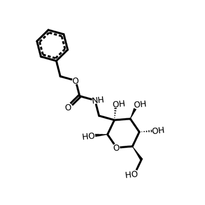 O=C(NC[C@]1(O)[C@H](O)O[C@H](CO)[C@@H](O)[C@@H]1O)OCc1ccccc1